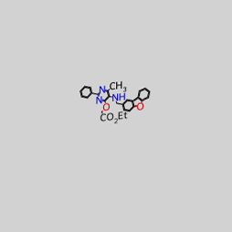 CCOC(=O)COc1nc(-c2ccccc2)nc(C)c1NCc1ccc2oc3ccccc3c2c1